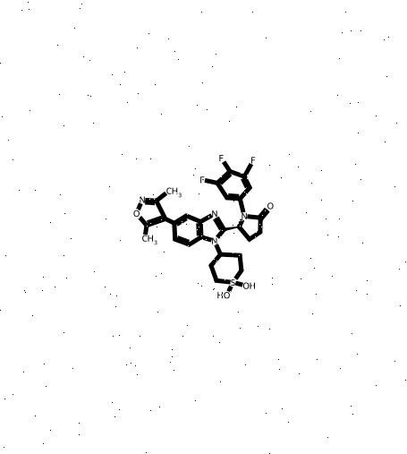 Cc1noc(C)c1-c1ccc2c(c1)nc([C@@H]1CCC(=O)N1c1cc(F)c(F)c(F)c1)n2C1CCS(O)(O)CC1